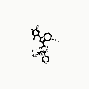 CN1CCCn2c(-c3cc(Cl)c(F)cc3F)nc(C(=O)N[C@H](C(=O)N3CCOCC3)C(C)(C)C)c2C1